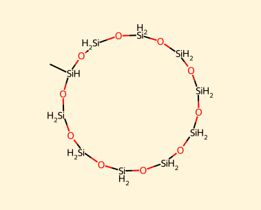 C[SiH]1O[SiH2]O[SiH2]O[SiH2]O[SiH2]O[SiH2]O[SiH2]O[SiH2]O[SiH2]O[SiH2]O1